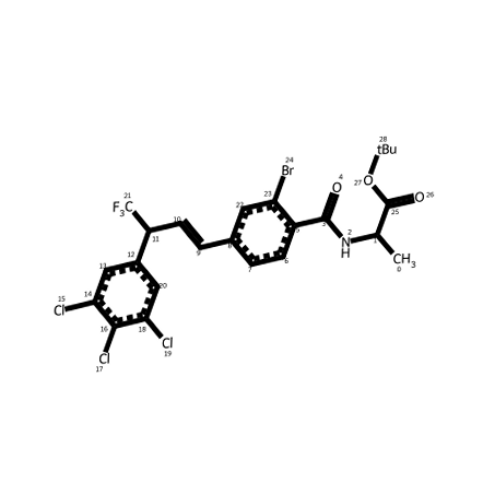 CC(NC(=O)c1ccc(C=CC(c2cc(Cl)c(Cl)c(Cl)c2)C(F)(F)F)cc1Br)C(=O)OC(C)(C)C